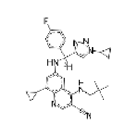 [2H]C(Nc1cc(C2CC2)c2ncc(C#N)c(NCC(C)(C)C)c2c1)(c1ccc(F)cc1)c1cn(C2CC2)nn1